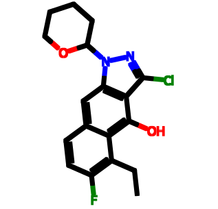 CCc1c(F)ccc2cc3c(c(Cl)nn3C3CCCCO3)c(O)c12